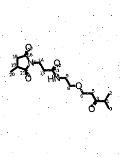 CC(C)C(=O)CCOCCNC(=O)CCN1C(=O)CC(C)C1=O